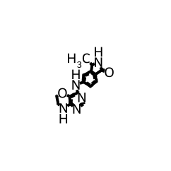 CC1NC(=O)c2ccc(Nc3ncnc4c3OCCN4)cc21